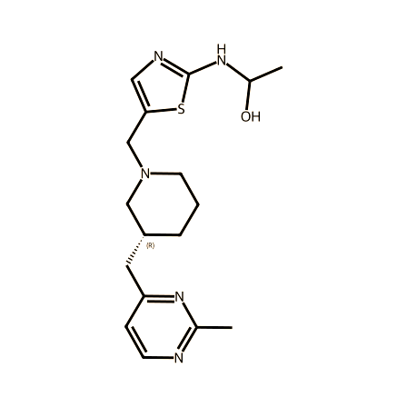 Cc1nccc(C[C@H]2CCCN(Cc3cnc(NC(C)O)s3)C2)n1